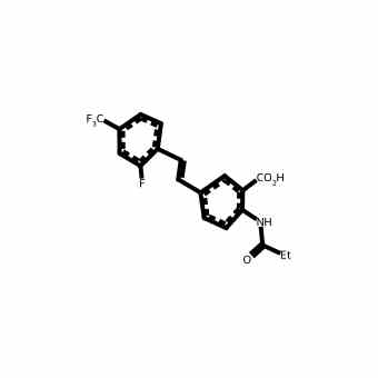 CCC(=O)Nc1ccc(C=Cc2ccc(C(F)(F)F)cc2F)cc1C(=O)O